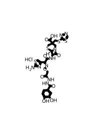 Cl.Nc1nc(C(=NOCC(=O)NNC(=O)c2ccc(O)c(O)c2)C(=O)NC2C(=O)N3CC(CSc4nncs4)(C(=O)O)CS[C@H]23)cs1